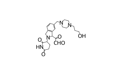 O=CC(=O)C1c2cc(CN3CCN(CCCO)CC3)ccc2CN1C1CCC(=O)NC1=O